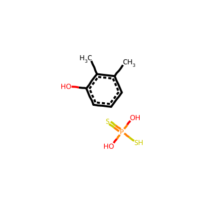 Cc1cccc(O)c1C.OP(O)(=S)S